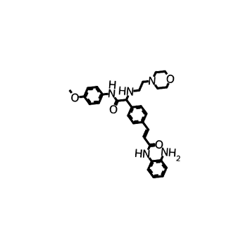 COc1ccc(NC(=O)C(NCCN2CCOCC2)c2ccc(C=CC(=O)Nc3ccccc3N)cc2)cc1